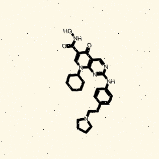 O=C(NO)c1cn(C2CCCCC2)c2nc(Nc3ccc(CCN4CCCC4)cc3)ncc2c1=O